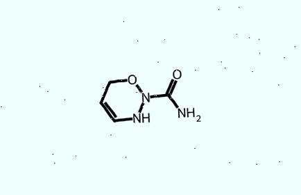 NC(=O)N1NC=CCO1